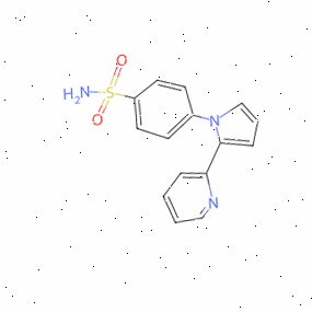 NS(=O)(=O)c1ccc(-n2cccc2-c2ccccn2)cc1